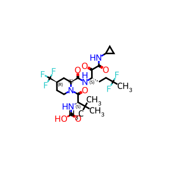 CC(F)(F)CC[C@H](NC(=O)[C@@H]1C[C@H](C(F)(F)F)CCN1C(=O)[C@@H](NC(=O)O)C(C)(C)C)C(=O)C(=O)NC1CC1